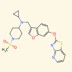 CS(=O)(=O)N1CCC(N(Cc2coc3cc(Oc4nc5ncccc5s4)ccc23)C2CC2)CC1